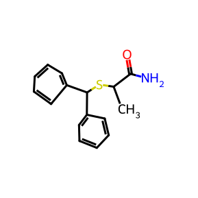 CC(SC(c1ccccc1)c1ccccc1)C(N)=O